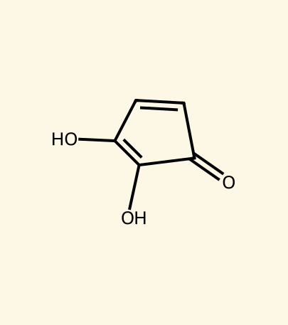 O=C1C=CC(O)=C1O